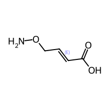 NOC/C=C/C(=O)O